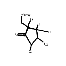 CCCCCCCCC1(Cl)C(=O)C(Cl)C(Cl)C1(Cl)Cl